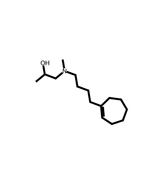 CC(O)CN(C)CCCCC1=CCCCCC1